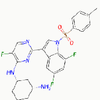 Cc1ccc(S(=O)(=O)n2cc(-c3ncc(F)c(N[C@H]4CCC[C@@H](N)C4)n3)c3cc(F)cc(F)c32)cc1